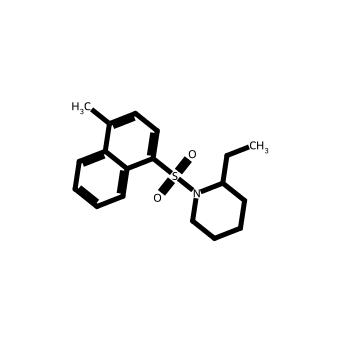 CCC1CCCCN1S(=O)(=O)c1ccc(C)c2ccccc12